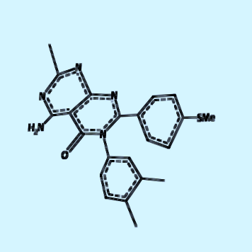 CSc1ccc(-c2nc3nc(C)nc(N)c3c(=O)n2-c2ccc(C)c(C)c2)cc1